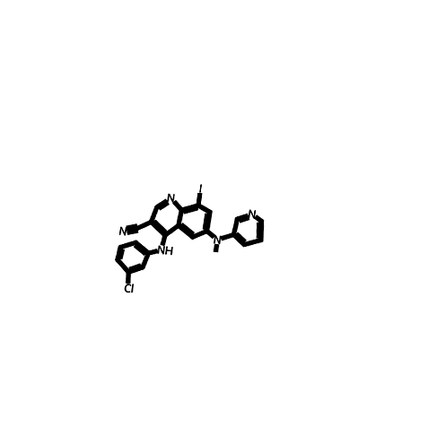 CN(c1cccnc1)c1cc(I)c2ncc(C#N)c(Nc3cccc(Cl)c3)c2c1